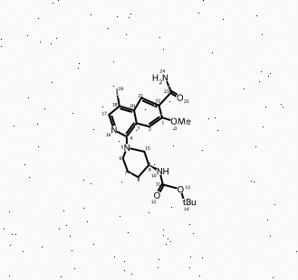 COc1cc2c(N3CCC[C@H](NC(=O)OC(C)(C)C)C3)ncc(I)c2cc1C(N)=O